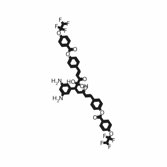 Nc1cc(N)cc(C(CC(=O)/C=C/c2ccc(OC(=O)c3ccc(OC(F)(F)C(F)F)cc3)cc2)C(O)(O)C(=O)/C=C/c2ccc(OC(=O)c3ccc(OC(F)(F)C(F)F)cc3)cc2)c1